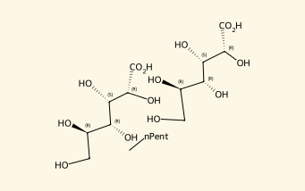 CCCCCC.O=C(O)[C@H](O)[C@@H](O)[C@H](O)[C@H](O)CO.O=C(O)[C@H](O)[C@@H](O)[C@H](O)[C@H](O)CO